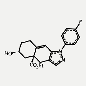 CCOC(=O)[C@]12Cc3cnn(-c4ccc(F)cc4)c3C=C1CC[C@@H](O)C2